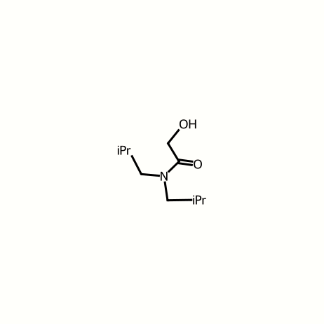 CC(C)CN(CC(C)C)C(=O)CO